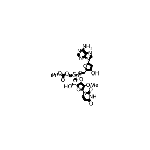 CO[C@H]1[C@@H](OP(=O)(OC[C@H]2O[C@@H](n3cnc4c(N)ncnc43)C[C@H]2O)SCOC(=O)OC(C)C)[C@@H](CO)O[C@H]1n1ccc(=O)[nH]c1=O